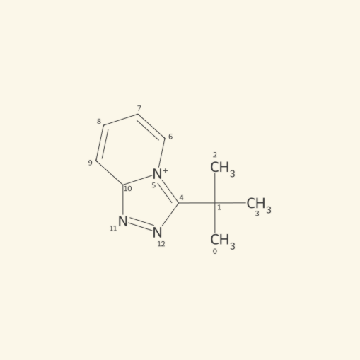 CC(C)(C)C1=[N+]2C=CC=CC2N=N1